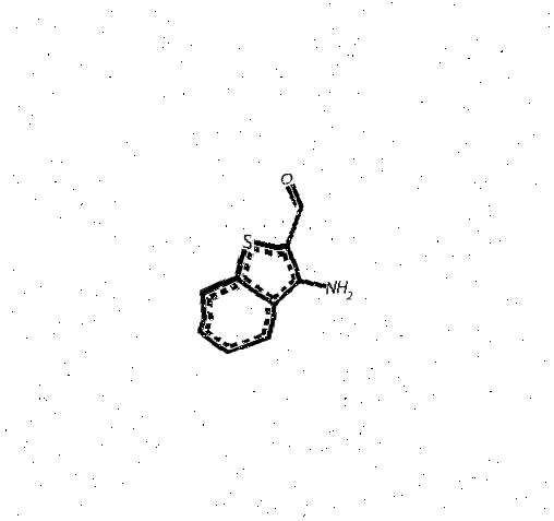 Nc1c(C=O)sc2ccccc12